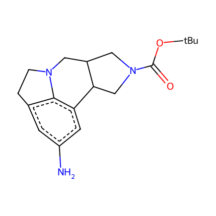 CC(C)(C)OC(=O)N1CC2CN3CCc4cc(N)cc(c43)C2C1